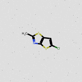 Cc1nc2sc(Cl)cc2s1